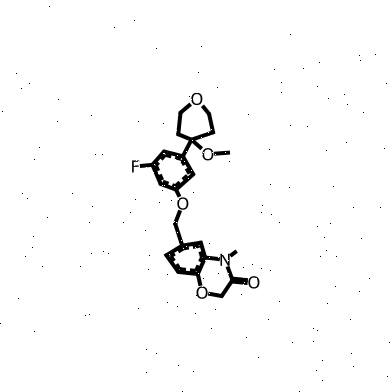 COC1(c2cc(F)cc(OCc3ccc4c(c3)N(C)C(=O)CO4)c2)CCOCC1